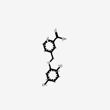 O=C(O)c1cc(COc2cc(Cl)ccc2Cl)ccn1